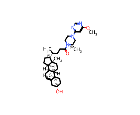 COc1cc(N2CCN(C(=O)CCC(C)[C@H]3CC[C@H]4[C@@H]5CC=C6C[C@@H](O)CC[C@]6(C)[C@H]5CC[C@]34C)[C@@H](C)C2)ncn1